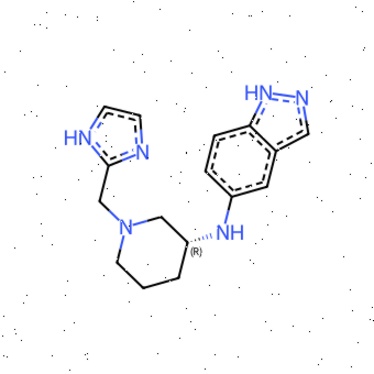 c1c[nH]c(CN2CCC[C@@H](Nc3ccc4[nH]ncc4c3)C2)n1